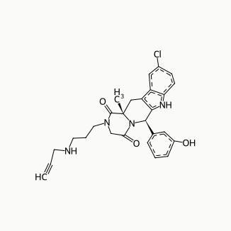 C#CCNCCCN1CC(=O)N2[C@H](c3cccc(O)c3)c3[nH]c4ccc(Cl)cc4c3C[C@@]2(C)C1=O